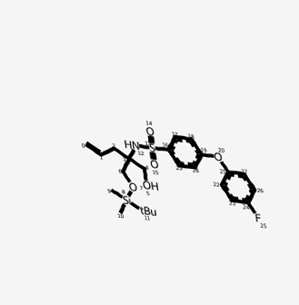 C=CCC(CO)(CO[Si](C)(C)C(C)(C)C)NS(=O)(=O)c1ccc(Oc2ccc(F)cc2)cc1